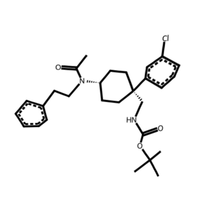 CC(=O)N(CCc1ccccc1)[C@H]1CC[C@](CNC(=O)OC(C)(C)C)(c2cccc(Cl)c2)CC1